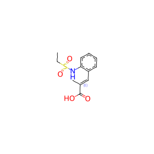 CCS(=O)(=O)Nc1ccccc1/C=C(\C)C(=O)O